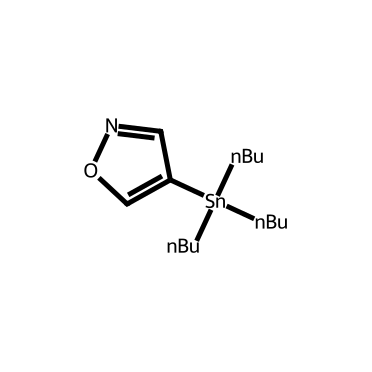 CCC[CH2][Sn]([CH2]CCC)([CH2]CCC)[c]1cnoc1